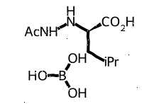 CC(=O)NN[C@H](CC(C)C)C(=O)O.OB(O)O